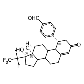 C[C@]12CCC3C(CCC4=CC(=O)C[C@@H](c5ccc(C=O)cc5)C43)C1CC[C@@]2(O)C(F)(F)C(F)(F)F